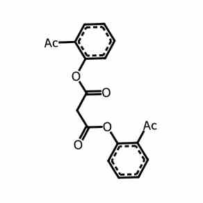 CC(=O)c1ccccc1OC(=O)CC(=O)Oc1ccccc1C(C)=O